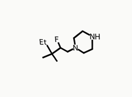 CCC(C)(C)C(F)CN1CCNCC1